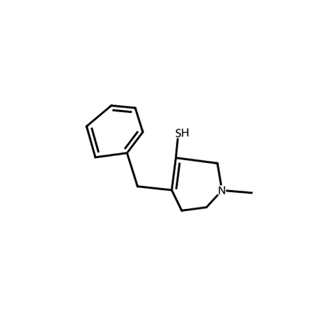 CN1CCC(Cc2ccccc2)=C(S)C1